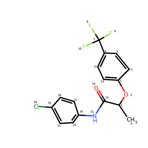 CC(Oc1ccc(C(F)(F)F)cc1)C(=O)Nc1ccc(Cl)cc1